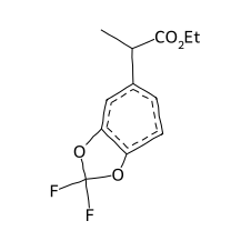 CCOC(=O)C(C)c1ccc2c(c1)OC(F)(F)O2